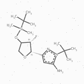 CC(C)(C)n1nc([C@@H]2OCC(O[Si](C)(C)C(C)(C)C)[C@@H]2F)cc1N